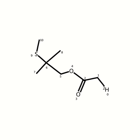 [2H]CC(=O)OCC(C)(C)SC